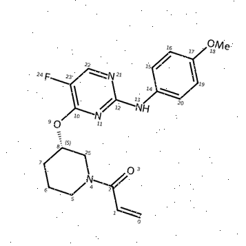 C=CC(=O)N1CCC[C@H](Oc2nc(Nc3ccc(OC)cc3)ncc2F)C1